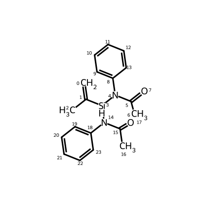 C=C(C)[SiH](N(C(C)=O)c1ccccc1)N(C(C)=O)c1ccccc1